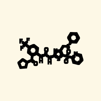 O=C(Nc1nc(CSc2ccccc2)c(S(=O)(=O)c2ccccn2)s1)Nc1ccc(C(F)(F)F)cc1C(=O)C1CCCC1